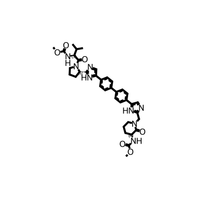 COC(=O)N[C@H](C(=O)N1CCC[C@H]1c1ncc(-c2ccc(-c3ccc(-c4cnc(CN5CCC[C@@H](NC(=O)OC)C5=O)[nH]4)cc3)cc2)[nH]1)C(C)C